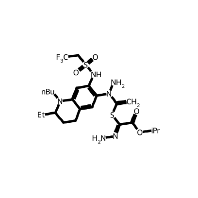 C=C(S/C(=N\N)C(=O)OC(C)C)N(N)c1cc2c(cc1NS(=O)(=O)CC(F)(F)F)N(CCCC)C(CC)CC2